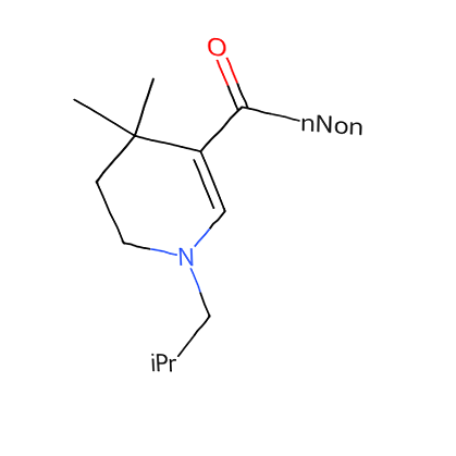 CCCCCCCCCC(=O)C1=CN(CC(C)C)CCC1(C)C